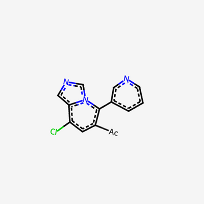 CC(=O)c1cc(Cl)c2cncn2c1-c1cccnc1